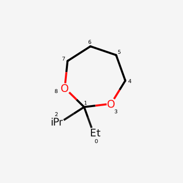 CCC1(C(C)C)OCCCCO1